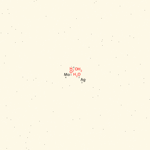 O.O.O.[Ag].[Mo]